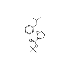 CC(C)Cc1ccccc1[C@@H]1CCCN1C(=O)OC(C)(C)C